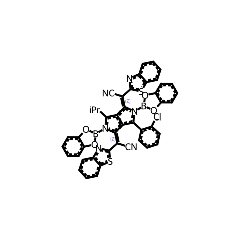 CC(C)c1c2/c(=C(\C#N)c3nc4ccccc4s3)n(B3Oc4ccccc4O3)c(-c3ccccc3Cl)c2/c(=C(\C#N)c2nc3ccccc3s2)n1B1Oc2ccccc2O1